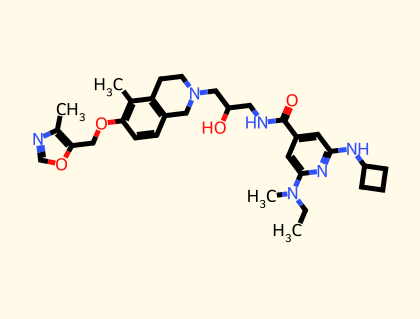 CCN(C)c1cc(C(=O)NCC(O)CN2CCc3c(ccc(OCc4ocnc4C)c3C)C2)cc(NC2CCC2)n1